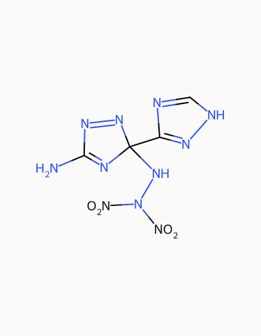 NC1=NC(NN([N+](=O)[O-])[N+](=O)[O-])(c2nc[nH]n2)N=N1